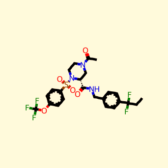 CCC(F)(F)c1ccc(CNC(=O)[C@H]2CN(C(C)=O)CCN2S(=O)(=O)c2ccc(OC(F)(F)F)cc2)cc1